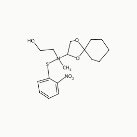 C[N+](CCO)(Sc1ccccc1[N+](=O)[O-])C1COC2(CCCCC2)O1